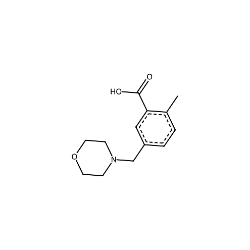 Cc1ccc(CN2CCOCC2)cc1C(=O)O